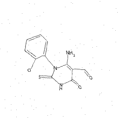 Nc1c(C=O)c(=O)[nH]c(=S)n1-c1ccccc1Cl